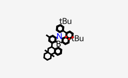 Cc1cc2c3c(c1)N(c1ccc(C(C)(C)C)cc1-c1ccccc1)c1cc(C(C)(C)C)ccc1B3c1cccc3c1C2CC1(C)CCCCC31C